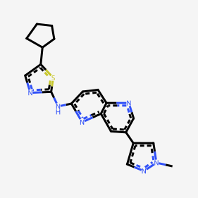 Cn1cc(-c2cnc3ccc(Nc4ncc(C5CCCC5)s4)nc3c2)cn1